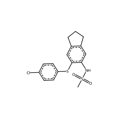 CS(=O)(=O)Nc1cc2c(cc1Sc1ccc(Cl)cc1)CCC2